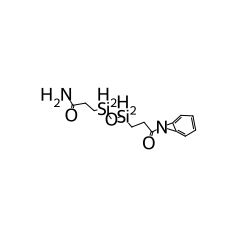 NC(=O)CC[SiH2]O[SiH2]CCC(=O)N1c2ccccc21